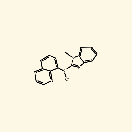 Cn1c([S+]([O-])c2cccc3cccnc23)nc2ccccc21